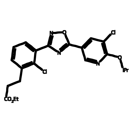 CCOC(=O)CCc1cccc(-c2noc(-c3cnc(OC(C)C)c(Cl)c3)n2)c1Cl